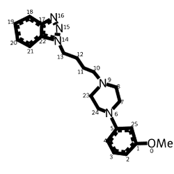 COc1cccc(N2CCN(CCCCn3nnc4ccccc43)CC2)c1